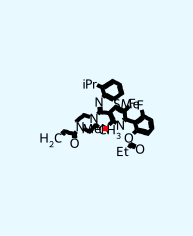 C=CC(=O)N1CCN(/C(=N/c2c(SC)cccc2C(C)C)c2cc(F)c(-c3c(F)cccc3OC(=O)CC)nc2NC)C(C)C1